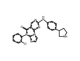 O=c1c2cnc(Nc3ccc(C4CCNC4)cc3)nc2n2ccnc2n1-c1ccccc1Cl